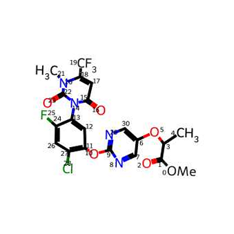 COC(=O)C(C)Oc1cnc(Oc2cc(-n3c(=O)cc(C(F)(F)F)n(C)c3=O)c(F)cc2Cl)nc1